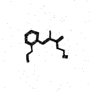 C=CCc1ccccc1/C=C(\C)C(=C)CCC#N